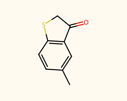 Cc1ccc2c(c1)C(=O)CS2